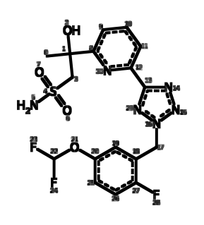 CC(O)(CS(N)(=O)=O)c1cccc(-c2nnn(Cc3cc(OC(F)F)ccc3F)n2)n1